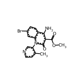 COC(=O)c1c(N)c2ccc(Br)cc2n(-c2cnccc2C)c1=O